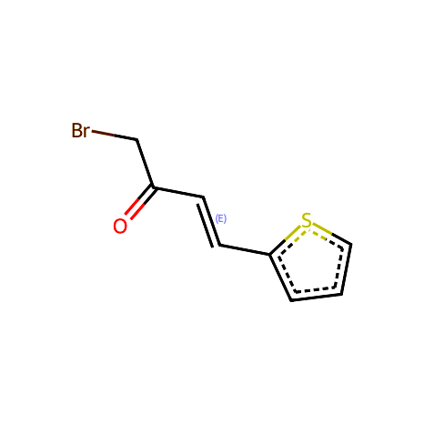 O=C(/C=C/c1cccs1)CBr